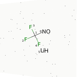 O=NC(F)(F)F.[LiH]